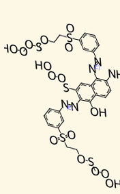 Nc1ccc2c(O)c(/N=N/c3cccc(S(=O)(=O)CCOSOOO)c3)c(SOOO)cc2c1/N=N/c1cccc(S(=O)(=O)CCOSOOO)c1